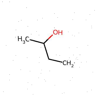 [CH2]CC(C)O